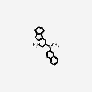 CN(c1ccc2ccccc2c1)C(CN)Cc1csc2ccccc12